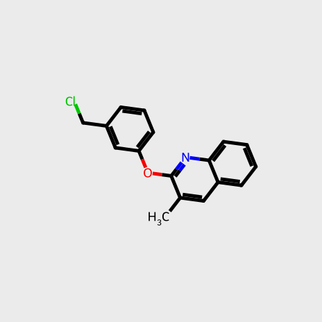 Cc1cc2ccccc2nc1Oc1cccc(CCl)c1